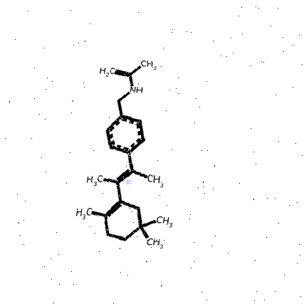 C=C(C)NCc1ccc(/C(C)=C(\C)C2=C(C)CCC(C)(C)C2)cc1